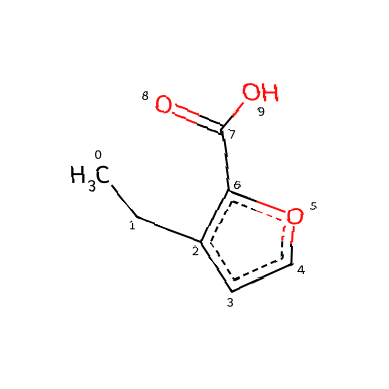 CCc1ccoc1C(=O)O